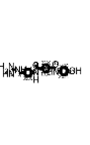 N=C(N)NCc1ccc(NC(=O)C23CCC(C(=O)Nc4ccc(O)cc4)(CC2)CC3)cc1